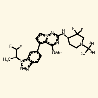 [2H]C([2H])([2H])N1CC[C@@H](Nc2nc(OC)c3c(-c4ccc5nnn([C@@H](C)C(F)F)c5c4)ccn3n2)C(F)(F)C1